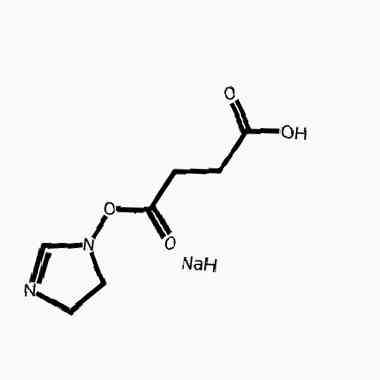 O=C(O)CCC(=O)ON1C=NCC1.[NaH]